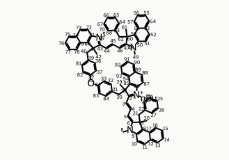 CCCC[N+]1=C(/C=C/C=C2/N(C)c3ccc4ccccc4c3C2(C)Cc2ccccc2)C(C)(Cc2ccc(Oc3ccc(CC4(C)C(/C=C/C=C5/N(C)c6ccc7ccccc7c6C5(C)Cc5ccccc5)=[N+](C)c5ccc6ccccc6c54)cc3)cc2)c2c1ccc1ccccc21